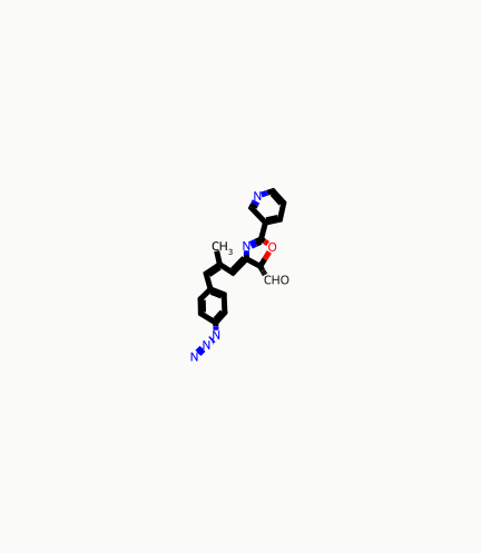 CC(=Cc1ccc(N=[N+]=[N-])cc1)C=C1N=C(c2cccnc2)OC1C=O